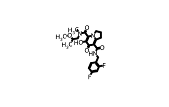 COC(C)CN(C)C(=O)c1c(O)c(=O)c(C(=O)NCc2ccc(F)cc2F)c2n1CCC2